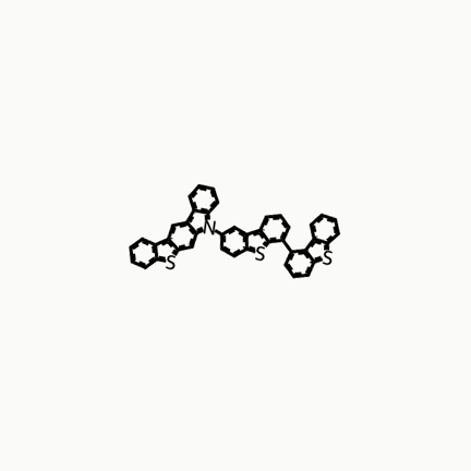 c1ccc2c(c1)sc1cc3c(cc12)c1ccccc1n3-c1ccc2sc3c(-c4cccc5sc6ccccc6c45)cccc3c2c1